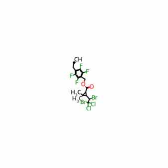 C#CCc1c(F)c(F)c(COC(=O)C2C(C(Br)C(Cl)(Cl)Br)C2(C)C)c(F)c1F